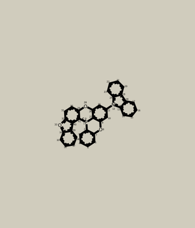 S=P12c3ccccc3Oc3cc(-n4c5ccccc5c5ccccc54)cc(c31)Oc1ccc3oc4ccccc4c3c12